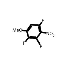 COc1cc(F)c([N+](=O)[O-])c(F)c1F